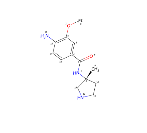 CCOc1cc(C(=O)N[C@]2(C)CCNC2)ccc1N